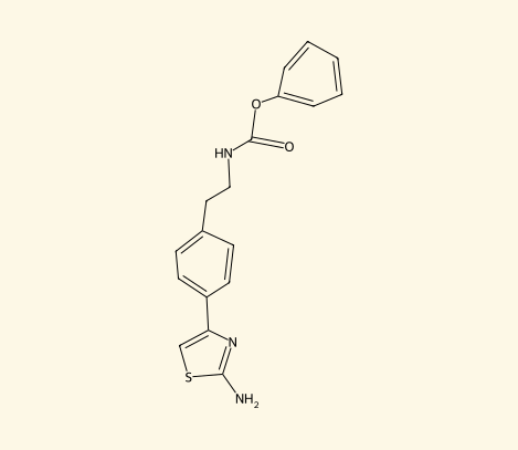 Nc1nc(-c2ccc(CCNC(=O)Oc3ccccc3)cc2)cs1